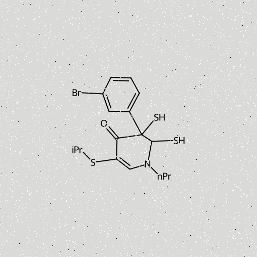 CCCN1C=C(SC(C)C)C(=O)C(S)(c2cccc(Br)c2)C1S